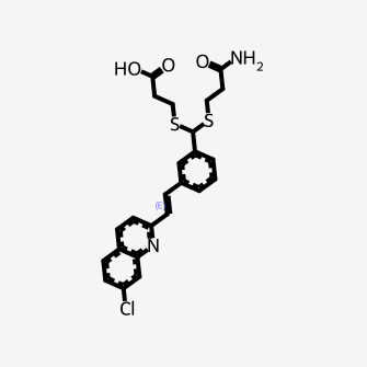 NC(=O)CCSC(SCCC(=O)O)c1cccc(/C=C/c2ccc3ccc(Cl)cc3n2)c1